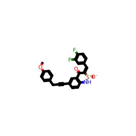 COc1ccc(CC#Cc2ccc3c(c2)C(=O)/C(=C\c2ccc(F)c(F)c2)[S+]([O-])N3)cc1